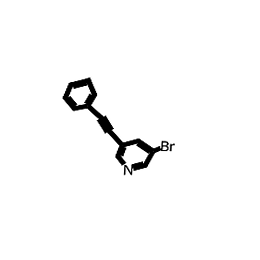 Brc1cncc(C#Cc2ccccc2)c1